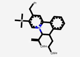 C=C(OC)C1C(CCOC)c2ccccc2-c2cc(CC(C)C)c([Si](C)(C)C)c[n+]21